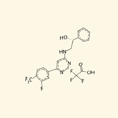 O=C(O)C(F)(F)F.O[C@@H](CNc1cc(-c2ccc(C(F)(F)F)c(F)c2)ncn1)c1ccccc1